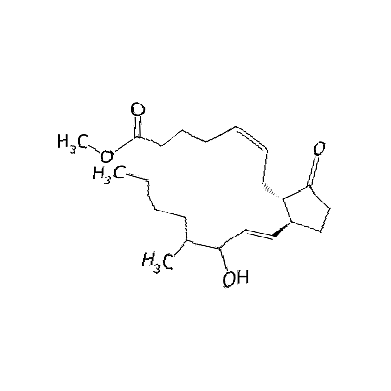 CCCCC(C)C(O)C=C[C@@H]1CCC(=O)[C@H]1C/C=C\CCCC(=O)OC